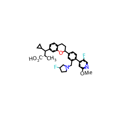 COc1cc(-c2ccc(C3CCc4ccc(C(C5CC5)[C@H](C)C(=O)O)cc4O3)cc2CN2CC[C@@H](F)C2)c(F)cn1